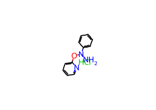 Cl.NN(Oc1ccccn1)c1ccccc1